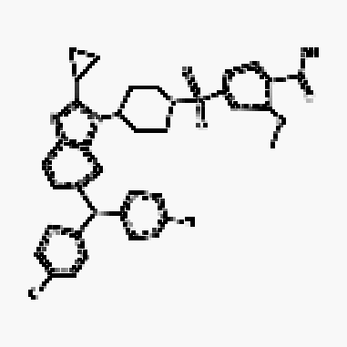 COc1cc(S(=O)(=O)N2CCC(n3c(C4CC4)nc4ccc(C(c5ccc(Cl)cc5)c5ccc(Cl)cc5)cc43)CC2)ccc1C(=O)O